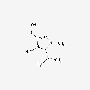 CN(C)C1N(C)C=C(CO)N1C